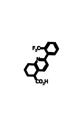 O=C(O)C1CCCc2nc(-c3ccccc3C(F)(F)F)ccc21